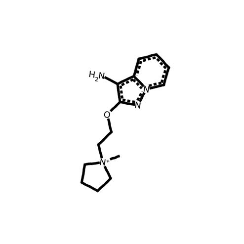 C[N+]1(CCOc2nn3ccccc3c2N)CCCC1